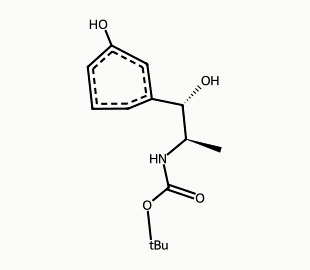 C[C@@H](NC(=O)OC(C)(C)C)[C@@H](O)c1cccc(O)c1